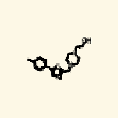 OCCN1CCN(Cc2ncc(-c3ccc(I)cc3)o2)CC1